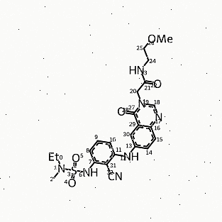 CCN(C)S(=O)(=O)Nc1cccc(Nc2ccc3ncn(CC(=O)NCCOC)c(=O)c3c2)c1C#N